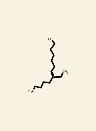 [CH2]CCCCC(=CCCCCCC)CC